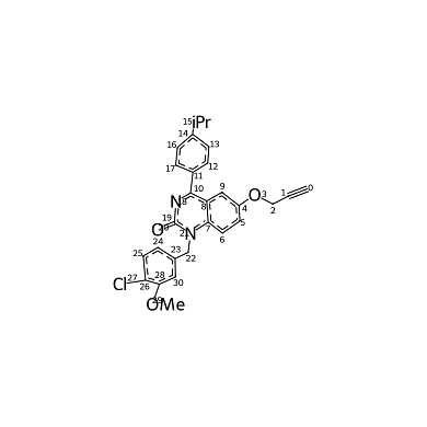 C#CCOc1ccc2c(c1)c(-c1ccc(C(C)C)cc1)nc(=O)n2Cc1ccc(Cl)c(OC)c1